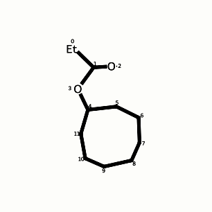 CCC([O])OC1CCCCCCC1